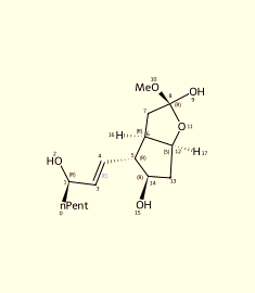 CCCCC[C@@H](O)/C=C/[C@@H]1[C@H]2C[C@@](O)(OC)O[C@H]2C[C@H]1O